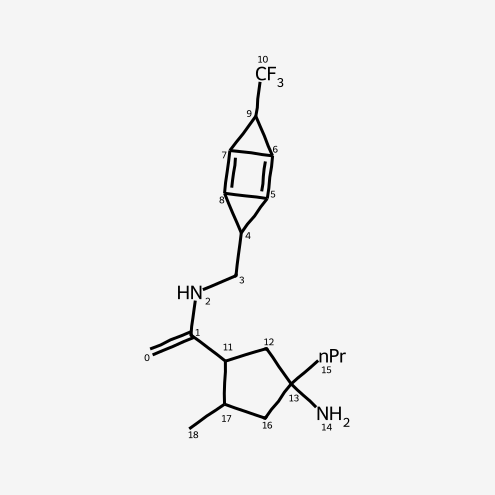 C=C(NCC1C2=C3C(=C21)C3C(F)(F)F)C1CC(N)(CCC)CC1C